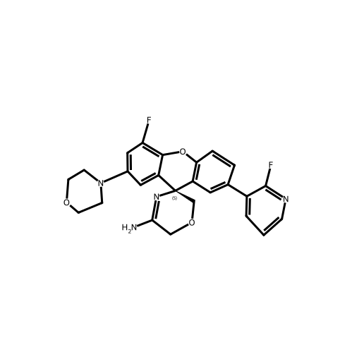 NC1=N[C@@]2(COC1)c1cc(-c3cccnc3F)ccc1Oc1c(F)cc(N3CCOCC3)cc12